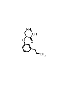 CCCc1cccc(O[C@@H](CN)C(=O)O)c1